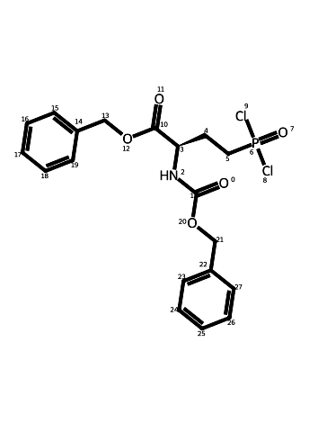 O=C(N[C@H](CCP(=O)(Cl)Cl)C(=O)OCc1ccccc1)OCc1ccccc1